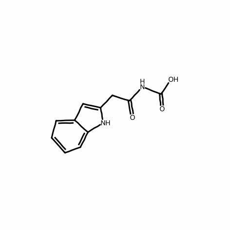 O=C(O)NC(=O)Cc1cc2ccccc2[nH]1